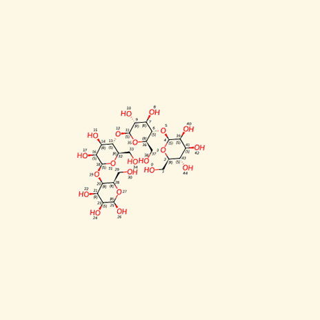 OC[C@H]1O[C@@H](O[C@H]2[C@H](O)[C@@H](O)[C@H](O[C@H]3[C@H](O)[C@H](O)[C@H](O[C@@H]4[C@H](O)[C@H](O)[C@H](O)O[C@@H]4CO)O[C@@H]3CO)O[C@@H]2CO)[C@@H](O)[C@@H](O)[C@@H]1O